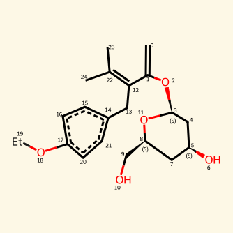 C=C(O[C@H]1C[C@@H](O)C[C@@H](CO)O1)C(Cc1ccc(OCC)cc1)=C(C)C